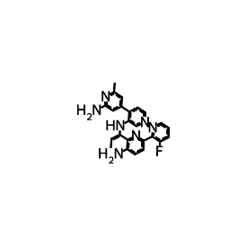 CC=C(Nc1cnccc1-c1cc(C)nc(N)c1)c1nc(-c2ncccc2F)ccc1N